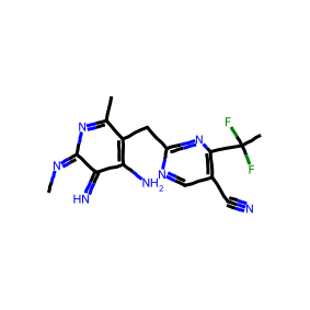 C/N=C1/N=C(C)C(Cc2ncc(C#N)c(C(C)(F)F)n2)=C(N)C1=N